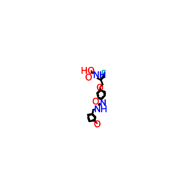 COc1cccc(CNc2nc3ccc(OC/C(=C/F)CNC(=O)O)cc3o2)c1